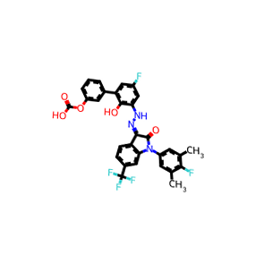 Cc1cc(N2C(=O)C(=NNc3cc(F)cc(-c4cccc(OC(=O)O)c4)c3O)c3ccc(C(F)(F)F)cc32)cc(C)c1F